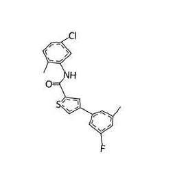 Cc1cc(F)cc(-c2csc(C(=O)Nc3cc(Cl)ccc3C)c2)c1